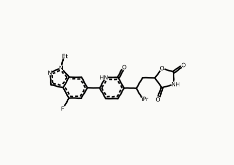 CCn1ncc2c(F)cc(-c3ccc(C(CC4OC(=O)NC4=O)C(C)C)c(=O)[nH]3)cc21